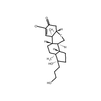 C[C@]12C=C(Cl)C(=O)C[C@@H]1CC[C@@H]1[C@@H]2CC[C@@]2(C)[C@H]1CC[C@@]2(O)CCCO